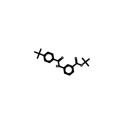 CC(C)(C)OC(=O)c1cccc(NC(=O)c2ccc(C(C)(C)C)cc2)c1